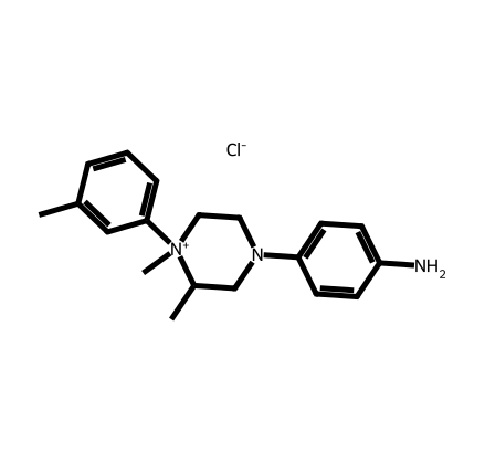 Cc1cccc([N+]2(C)CCN(c3ccc(N)cc3)CC2C)c1.[Cl-]